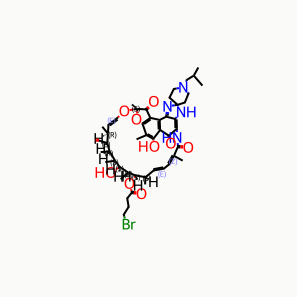 C/C1=C/C=C/[C@H](C)[C@H](OC(=O)CCCBr)[C@@H](C)[C@@H](O)[C@@H](C)[C@H](C)[C@H](C)[C@@H](C)/C=C/O[C@@]2(C)Oc3c(C)c(O)c4c(c3C2=O)C2=NC3(CCN(CC(C)C)CC3)NC2=C(NC1=O)C4=O